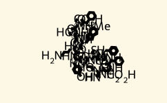 CN[C@H](C(=O)N[C@@H](CC(=O)O)C(=O)N[C@@H](CO)C(=O)N[C@@H](Cc1cc2ccccc2[nH]1)C(=O)N[C@@H](CCCCN)C(=O)N[C@@H](Cc1ccc(O)cc1)C(=O)N[C@H](CCCNC(=N)N)C(=O)N[C@H](CS)C(=O)N[C@@H](Cc1ccccc1)C(=O)N[C@H](C(=O)N[C@@H](CC(=O)O)C(=O)O)C1CCCCC1)C1CCCCC1